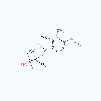 COc1ccc(B(O)OC(C)(C)C(C)(C)O)c(C)c1C